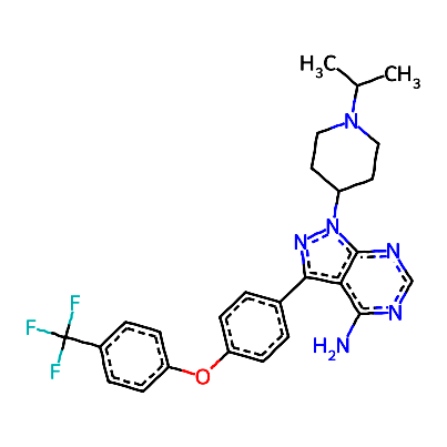 CC(C)N1CCC(n2nc(-c3ccc(Oc4ccc(C(F)(F)F)cc4)cc3)c3c(N)ncnc32)CC1